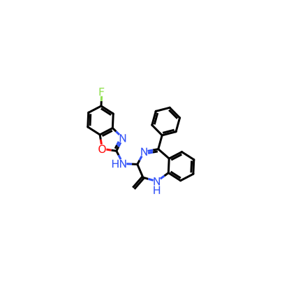 C=C1Nc2ccccc2C(c2ccccc2)=NC1Nc1nc2cc(F)ccc2o1